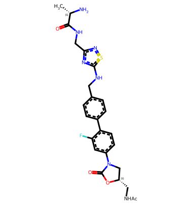 CC(=O)NC[C@H]1CN(c2ccc(-c3ccc(CNc4nc(CNC(=O)[C@H](C)N)ns4)cc3)c(F)c2)C(=O)O1